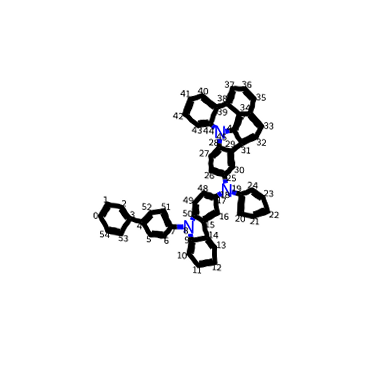 c1ccc(-c2ccc(-n3c4ccccc4c4cc(N(c5ccccc5)c5ccc6c(c5)c5ccc7cccc8c9ccccc9n6c5c78)ccc43)cc2)cc1